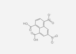 O=C(O)c1ccc([N+](=O)[O-])c2cc([N+](=O)[O-])cc(C(=O)O)c12